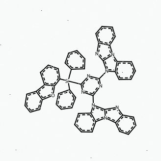 c1ccc([Si](c2ccccc2)(c2nc(-n3c4ccccc4n4c5ccccc5nc34)nc(-n3c4ccccc4n4c5ccccc5nc34)n2)c2cccc3c2oc2ccccc23)cc1